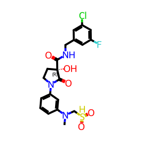 CN(C[SH](=O)=O)c1cccc(N2CC[C@@](O)(C(=O)NCc3cc(F)cc(Cl)c3)C2=O)c1